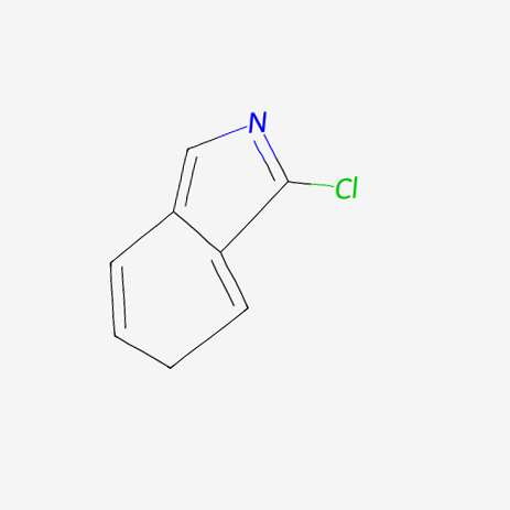 ClC1=NC=C2C=CCC=C21